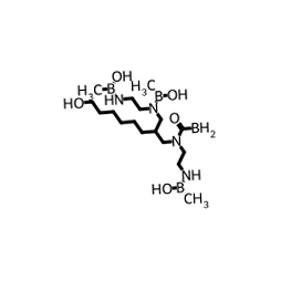 BC(=O)N(CCNB(C)O)CC(CCCCCCO)CN(CCNB(C)O)B(C)O